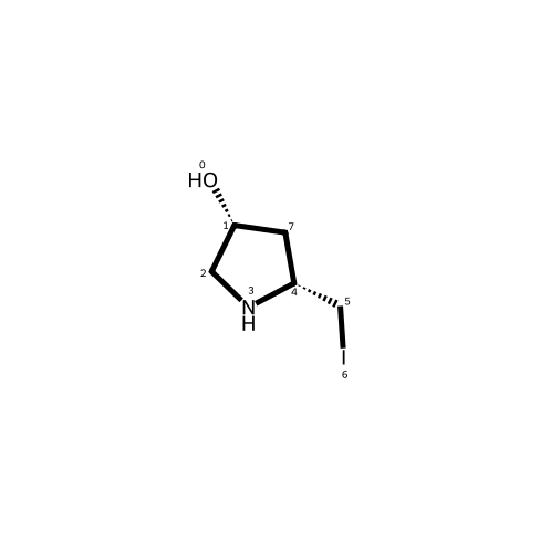 O[C@H]1CN[C@@H](CI)C1